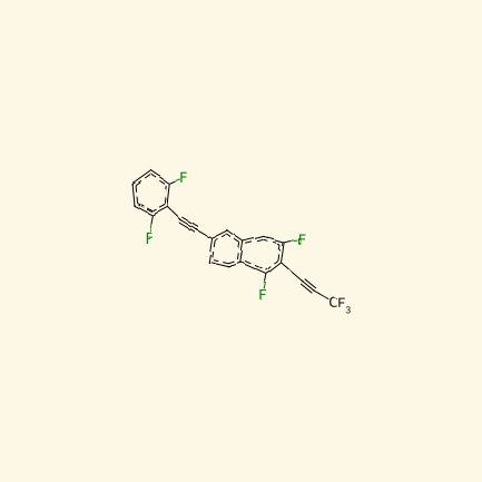 Fc1cccc(F)c1C#Cc1ccc2c(F)c(C#CC(F)(F)F)c(F)cc2c1